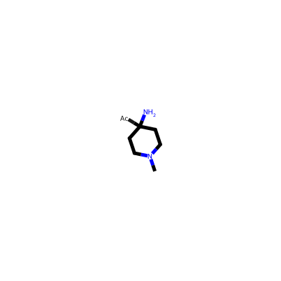 CC(=O)C1(N)CCN(C)CC1